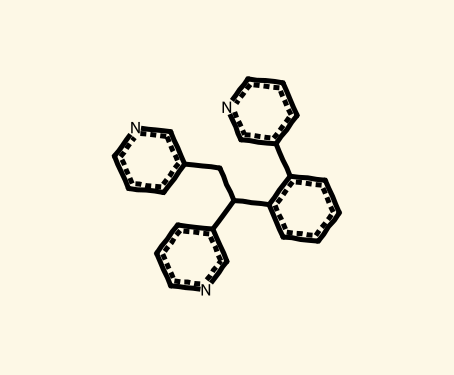 c1cncc(CC(c2cccnc2)c2ccccc2-c2cccnc2)c1